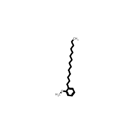 CCCCCCCCCCCCCCc1ccccc1OC